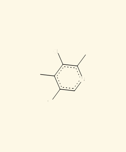 Cc1n[c]c(Cl)c(C)c1Cl